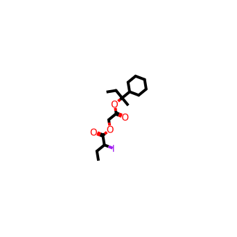 CCC(I)C(=O)OCC(=O)OC(C)(CC)C1CCCCC1